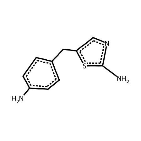 Nc1ccc(Cc2cnc(N)s2)cc1